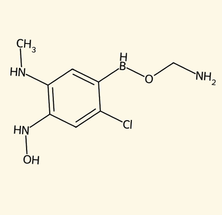 CNc1cc(BOCN)c(Cl)cc1NO